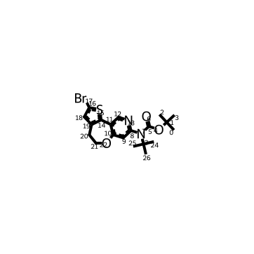 CC(C)(C)OC(=O)N(c1cc2c(cn1)-c1sc(Br)cc1CCO2)C(C)(C)C